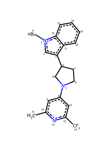 CCCCn1cc(C2CCN(c3[c]c(C)nc(C(F)(F)F)c3)C2)c2ccccc21